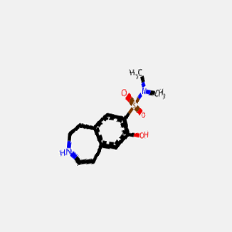 CN(C)S(=O)(=O)c1cc2c(cc1O)CCNCC2